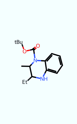 CCC1Nc2ccccc2N(C(=O)OC(C)(C)C)C1C